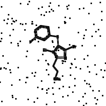 CCn1c(CCOC(C)=O)nc(C(C)C)c1Sc1cccc(F)c1